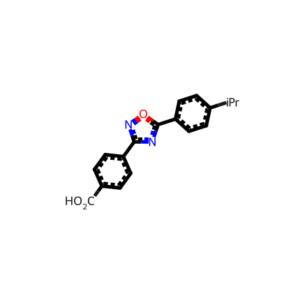 CC(C)c1ccc(-c2nc(-c3ccc(C(=O)O)cc3)no2)cc1